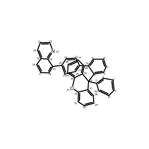 c1ccc(C2(c3ccccc3-c3ccc(-c4cccc5cccnc45)cc3)c3ccccc3Oc3ccccc32)cc1